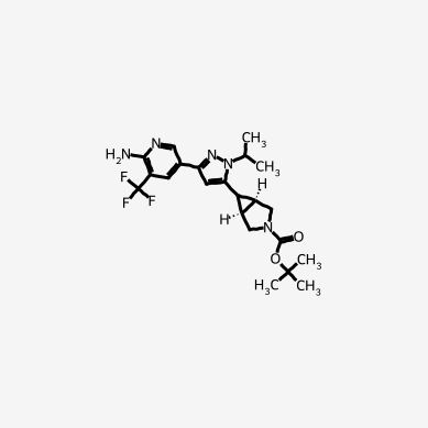 CC(C)n1nc(-c2cnc(N)c(C(F)(F)F)c2)cc1C1[C@H]2CN(C(=O)OC(C)(C)C)C[C@@H]12